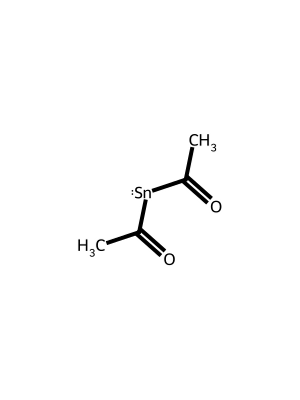 C[C](=O)[Sn][C](C)=O